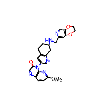 COc1ccc2ncc(=O)n(-c3cnc4c(c3)CCC(NCc3cc5c(cn3)OCCO5)C4)c2n1